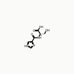 O=C(N[C@@H](CO)C(=O)O)c1c[nH]cn1